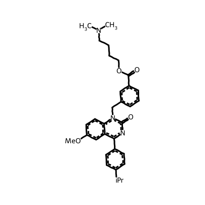 COc1ccc2c(c1)c(-c1ccc(C(C)C)cc1)nc(=O)n2Cc1cccc(C(=O)OCCCCN(C)C)c1